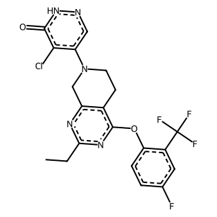 CCc1nc2c(c(Oc3ccc(F)cc3C(F)(F)F)n1)CCN(c1cn[nH]c(=O)c1Cl)C2